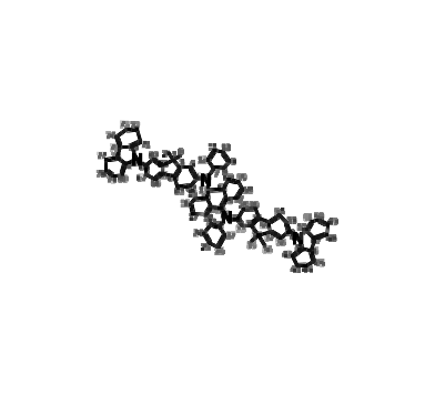 CC1(C)c2cc(N(c3ccccc3)c3c4ccccc4c(N(c4ccccc4)c4ccc5c(c4)C(C)(C)c4cc(-n6c7ccccc7c7ccccc76)ccc4-5)c4ccccc34)ccc2-c2ccc(-n3c4ccccc4c4ccccc43)cc21